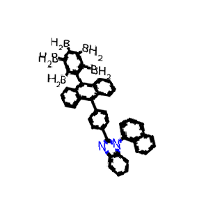 Bc1c(B)c(B)c(-c2c3ccccc3c(-c3ccc(-c4nc5ccccc5n4-c4cccc5ccccc45)cc3)c3ccccc23)c(B)c1B